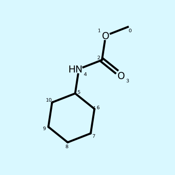 COC(=O)NC1[CH]CCCC1